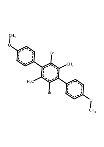 COc1ccc(-c2c(C)c(Br)c(-c3ccc(OC)cc3)c(C)c2Br)cc1